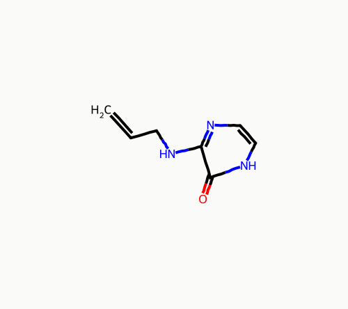 C=CCNc1ncc[nH]c1=O